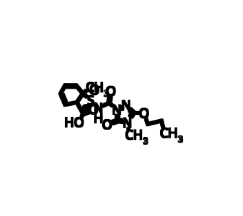 CCCOc1nn(C(=O)NS(=O)(=O)C2(C)C=CC=CC2C(=O)O)c(=O)n1C